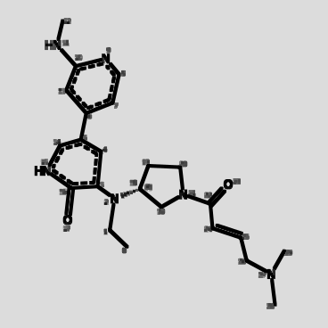 CCN(c1cc(-c2ccnc(NC)c2)c[nH]c1=O)[C@@H]1CCN(C(=O)C=CCN(C)C)C1